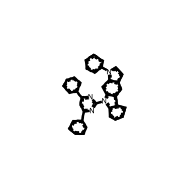 c1ccc(-c2cc(-c3ccccc3)nc(-n3c4ccccc4c4cc5ccn(-c6ccccc6)c5cc43)n2)cc1